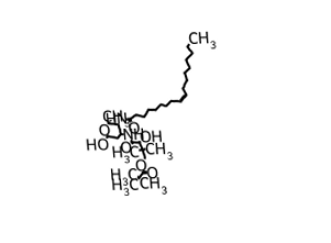 CCCCCCCC/C=C\CCCCCCCC(=O)NC(CC)C(CC(=O)O)NC(=O)C(O)C(C)(C)COC(=O)C(C)(C)C